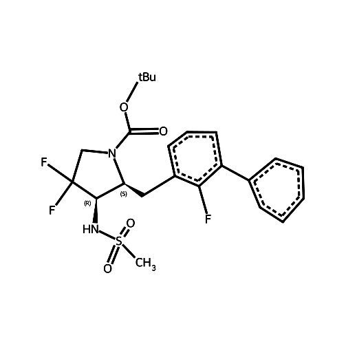 CC(C)(C)OC(=O)N1CC(F)(F)[C@H](NS(C)(=O)=O)[C@@H]1Cc1cccc(-c2ccccc2)c1F